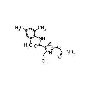 CCc1nc(OC(N)=O)sc1C(=O)Nc1c(C)cc(C)cc1C